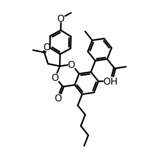 C=C(C)c1ccc(C)cc1-c1c(O)cc(CCCCC)c2c1OC(CC(C)=O)(c1ccc(OC)cc1)OC2=O